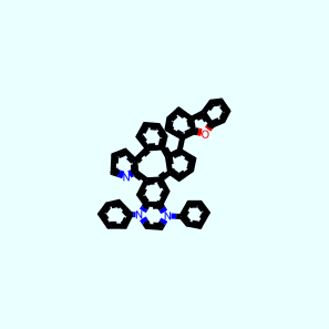 c1ccc(-n2ccn(-c3ccccc3)c3cc4c(cc32)c2cccc(-c3cccc5c3oc3ccccc35)c2c2ccccc2c2cccnc24)cc1